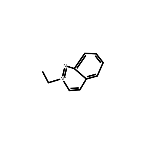 [CH2]C[n+]1ccc2ccccc2n1